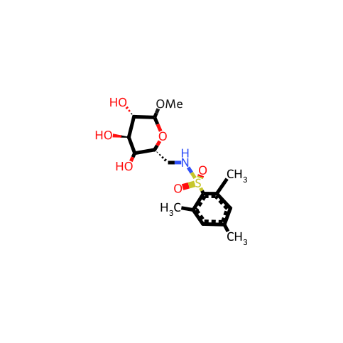 COC1O[C@H](CNS(=O)(=O)c2c(C)cc(C)cc2C)C(O)[C@@H](O)[C@@H]1O